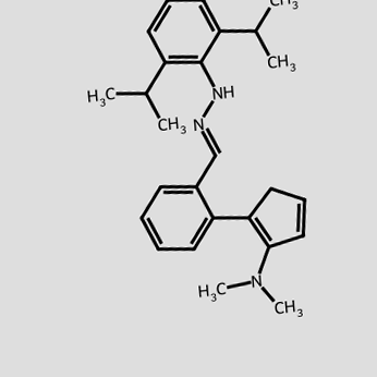 CC(C)c1cccc(C(C)C)c1N/N=C/c1ccccc1C1=C(N(C)C)C=CC1